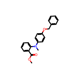 COC(=O)c1ccccc1N(C)c1ccc(OCc2ccccc2)cc1